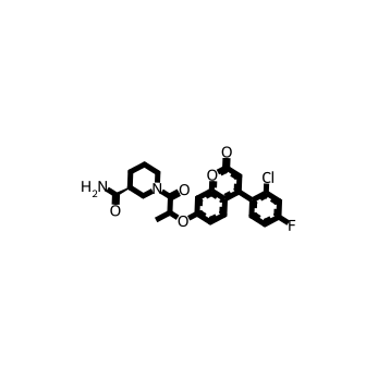 CC(Oc1ccc2c(-c3ccc(F)cc3Cl)cc(=O)oc2c1)C(=O)N1CCC[C@H](C(N)=O)C1